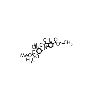 C=CCOC(=O)c1ccc2c(c1)c(C)c(C)n2Cc1cc(Cl)cc(O[C@@H](C)C(=O)OC)c1